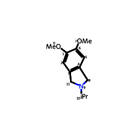 COc1cc2c(cc1OC)CN(C(C)C)C2